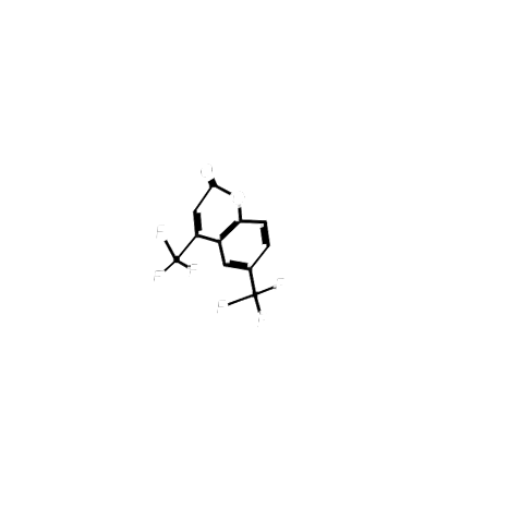 O=c1cc(C(F)(F)F)c2cc(C(F)(F)F)ccc2o1